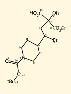 CCOC(=O)C(O)(CC(CC)C1CCN(C(=O)OC(C)(C)C)CC1)C(=O)O